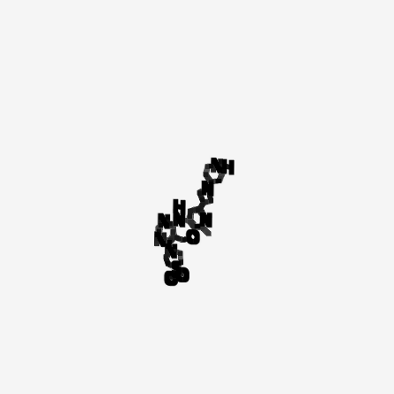 Cc1nc(C2CN(C3CCNCC3)C2)cc2c1OCc1c(ncnc1N1CCS(=O)(=O)CC1)N2